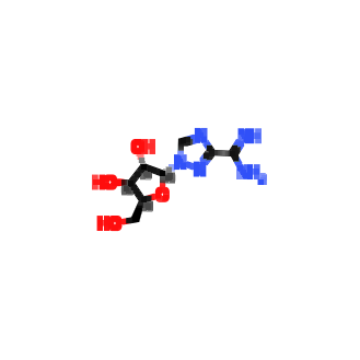 N=C(N)c1ncn([C@@H]2O[C@@H](CO)[C@@H](O)[C@@H]2O)n1